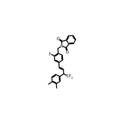 Cc1ccc(C(/C=C/c2ccc(CN3C(=O)c4ccccc4C3=O)c(F)c2)C(F)(F)F)cc1C